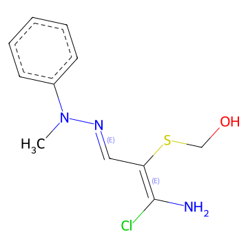 CN(/N=C/C(SCO)=C(/N)Cl)c1ccccc1